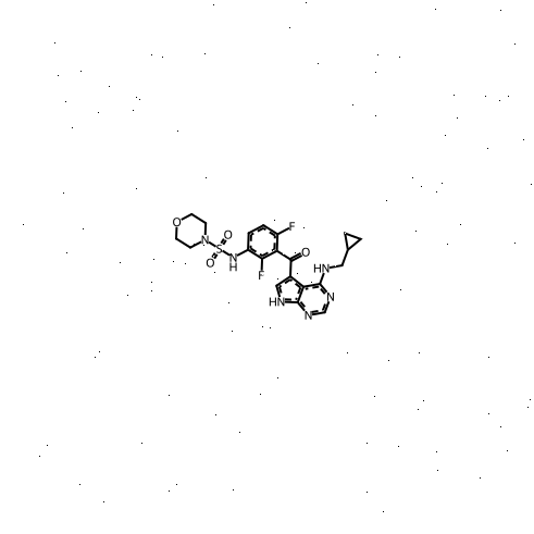 O=C(c1c(F)ccc(NS(=O)(=O)N2CCOCC2)c1F)c1c[nH]c2ncnc(NCC3CC3)c12